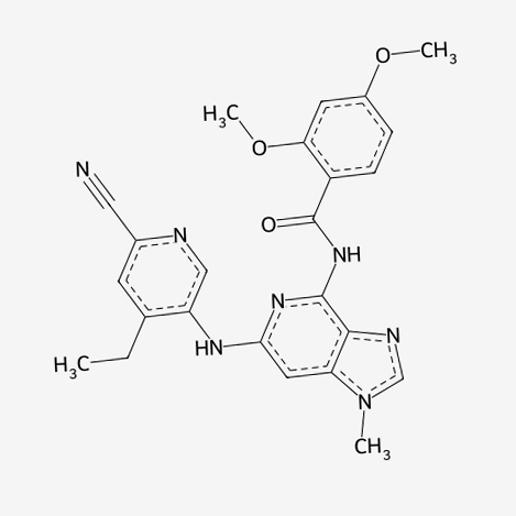 CCc1cc(C#N)ncc1Nc1cc2c(ncn2C)c(NC(=O)c2ccc(OC)cc2OC)n1